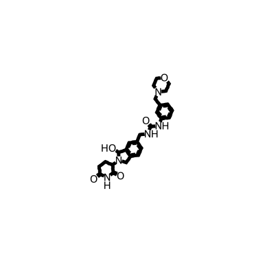 O=C1CCC(N2Cc3ccc(CNC(=O)Nc4cccc(CN5CCOCC5)c4)cc3C2O)C(=O)N1